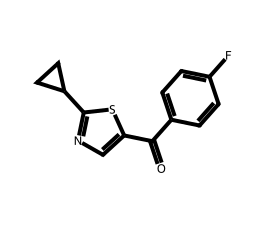 O=C(c1ccc(F)cc1)c1cnc(C2CC2)s1